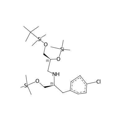 CC(C)(C)[Si](C)(C)OC[C@H](CN[C@H](CO[Si](C)(C)C)Cc1ccc(Cl)cc1)O[Si](C)(C)C